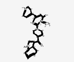 Cn1c(N2CCC(C(=O)C3CNc4ccccc43)CC2)nc(-c2ccncc2)cc1=O